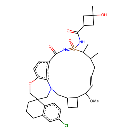 COC1/C=C/CC(C)C(C)S(=O)(NC(=O)C2CC(C)(O)C2)=NC(=O)c2ccc3c(c2)N(CC2CCC21)CC1(CCCc2cc(Cl)ccc21)CO3